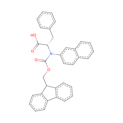 O=C(O)[C@H](Cc1ccccc1)N(C(=O)OCC1c2ccccc2-c2ccccc21)c1ccc2ccccc2c1